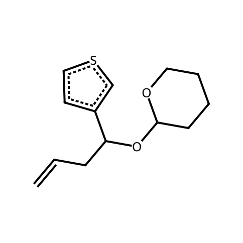 C=CCC(OC1CCCCO1)c1ccsc1